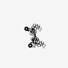 CC(C)(C)OC(=O)N[C@@H](Cc1ccccc1)C(=O)NS(=O)(=O)CCCS(=O)(=O)NC(=O)[C@H](Cc1ccccc1)NC(=O)OC(C)(C)C